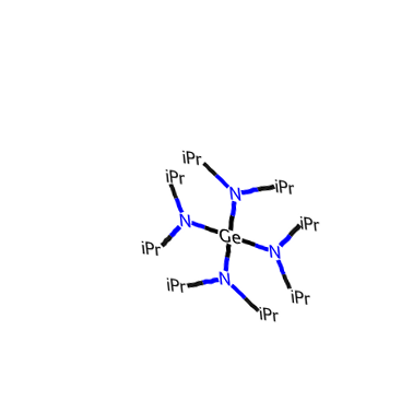 CC(C)[N](C(C)C)[Ge]([N](C(C)C)C(C)C)([N](C(C)C)C(C)C)[N](C(C)C)C(C)C